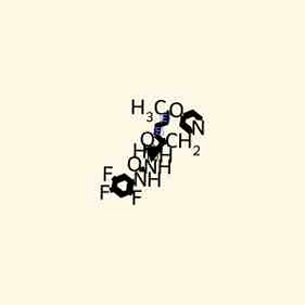 C=C1/C(=C\C=C(/C)Oc2ccncc2)O[C@@H]2[C@@H](NC(=O)Nc3cc(F)c(F)cc3F)[C@H]12